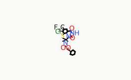 O=C(OCc1ccccc1)N1CC2(CSc3c(Cl)c(C(F)(F)F)cc4c(=O)[nH]c(=O)n(c34)C2)C1